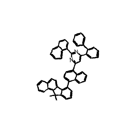 CC1(C)c2cccc(-c3ccc(-c4cc(-c5ccccc5-c5ccccc5)nc(-c5cccc6ccccc56)n4)c4ccccc34)c2-c2ccc3ccccc3c21